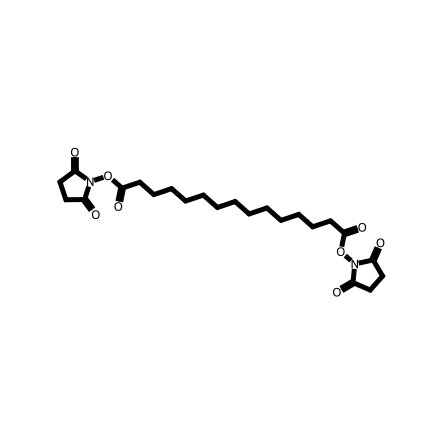 O=C(CCCCCCCCCCCCCC(=O)ON1C(=O)CCC1=O)ON1C(=O)CCC1=O